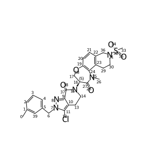 Cc1cccc(Cn2nc3c(c2Cl)CCN([C@H]2COc4ccc5c(c4N(C)C2=O)CCN(S(C)(=O)=O)C5)C3=O)c1